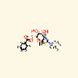 CN(C)C1=N[C@@H]2[C@@H](O)[C@@H](O)[C@@H](COC(=O)c3ccccc3)O[C@@H]2S1